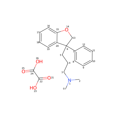 CN(C)CCCC1(c2ccccc2)COc2ccccc21.O=C(O)C(=O)O